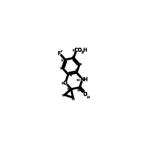 O=C(O)c1cc2c(cc1F)OC1(CC1)C(=O)N2